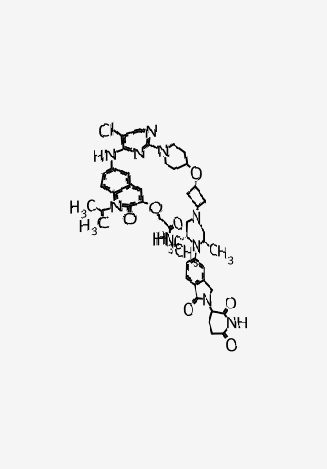 CNC(=O)COc1cc2cc(Nc3nc(N4CCC(O[C@H]5C[C@H](N6C[C@@H](C)N(c7ccc8c(c7)CN(C7CCC(=O)NC7=O)C8=O)[C@H](C)C6)C5)CC4)ncc3Cl)ccc2n(C(C)C)c1=O